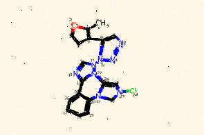 CC1OCCC1c1cnnn1N1C=NC2c3ccccc3N3CN(Cl)C=C3N21